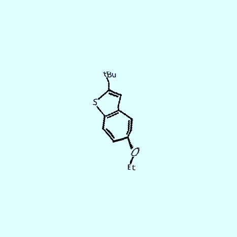 CCOc1ccc2sc(C(C)(C)C)cc2c1